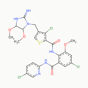 COc1cc(Cl)cc(C(=O)Nc2ccc(Cl)cn2)c1NC(=O)c1scc(CN2C(=N)NC(OC)C2OC)c1Cl